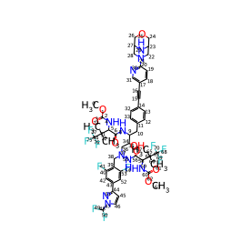 COC(=O)NC(C(=O)NC(Cc1ccc(C#Cc2ccc(N3CC4COCC(C3)N4)nc2)cc1)C(O)CN(Cc1c(F)cc(-c2ccn(C(F)F)n2)cc1F)NC(=O)C(NC(=O)OC)C(C)(C)C(F)(F)F)C(C)(C)C(F)(F)F